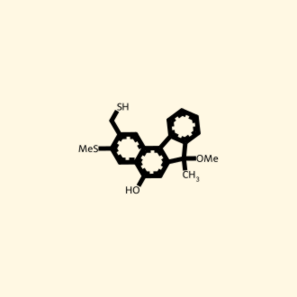 COC1(C)c2ccccc2-c2c1cc(O)c1cc(SC)c(CS)cc21